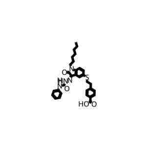 CCCCCCCN1C(=O)C(=NNC(=O)Nc2ccccc2)c2cc(SCCc3ccc(C(=O)O)cc3)ccc21